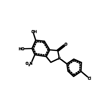 O=C1c2cc(O)c(O)c([N+](=O)[O-])c2CN1c1ccc(Cl)cc1